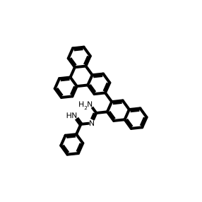 N=C(/N=C(\N)c1cc2ccccc2cc1-c1ccc2c3ccccc3c3ccccc3c2c1)c1ccccc1